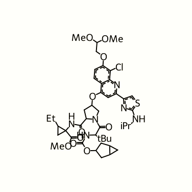 CCC1CC1(NC(=O)C1CC(Oc2cc(-c3csc(NC(C)C)n3)nc3c(Cl)c(OCC(OC)OC)ccc23)CN1C(=O)C(NC(=O)OC1CC2CC2C1)C(C)(C)C)C(=O)OC